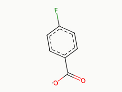 [O]C(=O)c1ccc(F)cc1